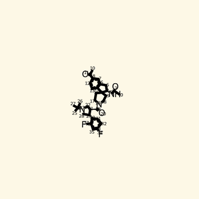 CC(=O)N[C@@H]1Cc2cc(C(C)=O)ccc2C12CCN(C(=O)[C@@H]1CN(C(C)(C)C)C[C@H]1c1ccc(F)cc1F)CC2